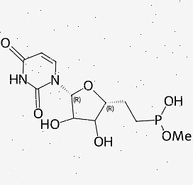 COP(O)CC[C@H]1O[C@@H](n2ccc(=O)[nH]c2=O)C(O)C1O